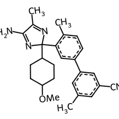 COC1CCC(C2(c3cc(-c4cc(C)cc(C#N)c4)ccc3C)N=C(C)C(N)=N2)CC1